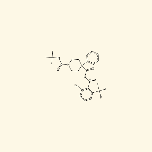 C[C@H](OC(=O)C1(c2ccccc2)CCN(C(=O)OC(C)(C)C)CC1)c1c(Br)cccc1C(F)(F)F